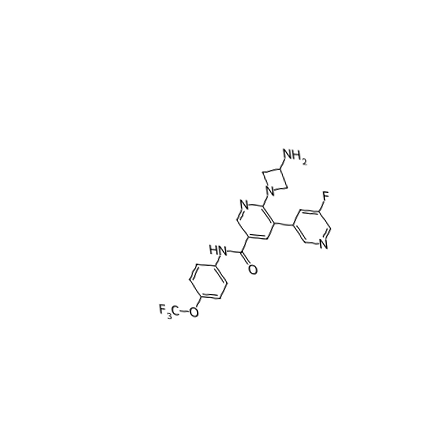 NC1CN(c2ncc(C(=O)Nc3ccc(OC(F)(F)F)cc3)cc2-c2cncc(F)c2)C1